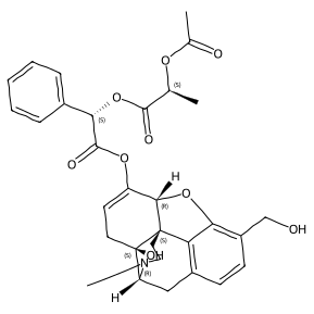 CC(=O)O[C@@H](C)C(=O)O[C@H](C(=O)OC1=CC[C@@]2(O)[C@H]3Cc4ccc(CO)c5c4[C@@]2(CCN3C)[C@H]1O5)c1ccccc1